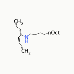 C=C/C=C\C(=C/C=C)NCCCCCCCCCCCC